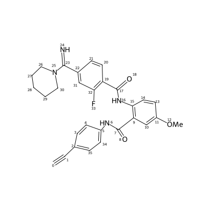 C#Cc1ccc(NC(=O)c2cc(OC)ccc2NC(=O)c2ccc(C(=N)N3CCCCC3)cc2F)cc1